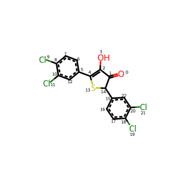 O=C1C(O)=C(c2ccc(Cl)c(Cl)c2)SC1c1ccc(Cl)c(Cl)c1